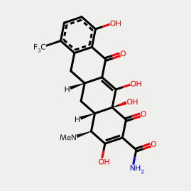 CN[C@@H]1C(O)=C(C(N)=O)C(=O)[C@@]2(O)C(O)=C3C(=O)c4c(O)ccc(C(F)(F)F)c4C[C@H]3C[C@@H]12